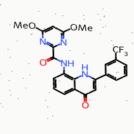 COc1cc(OC)nc(C(=O)Nc2cccc3c(=O)cc(-c4cccc(C(F)(F)F)c4)[nH]c23)n1